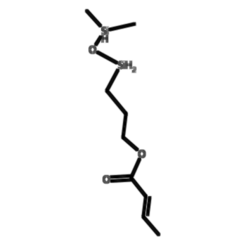 CC=CC(=O)OCCC[SiH2]O[SiH](C)C